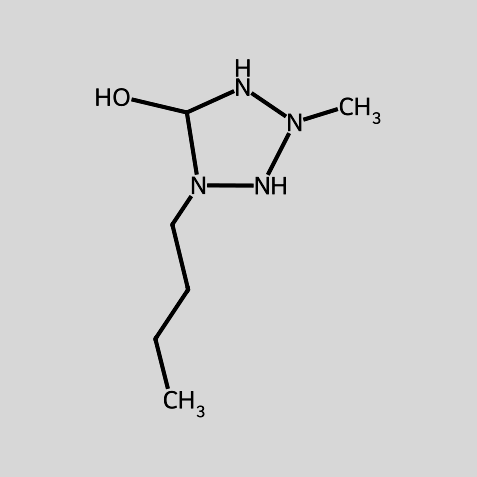 CCCCN1NN(C)NC1O